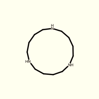 C1CCNCCCCNCCCCNC1